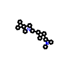 c1ccc(-n2c3ccccc3c3cc(-c4cccc5c6ccc(-c7ccc8c(c7)c7cccc(-c9ccc%10c%11ccccc%11c%11ccccc%11c%10c9)c7n8-c7ccccc7)cc6c6ccccc6c45)ccc32)cc1